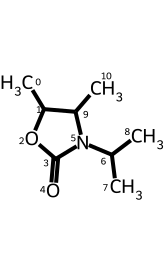 CC1OC(=O)N(C(C)C)C1C